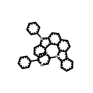 c1ccc(-c2cnc(-n3c4ccccc4c4ccc5ccc6c(c7ccccc7n6-c6ccccc6)c5c43)cn2)cc1